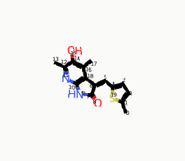 Cc1ccc(/C=C2\C(=O)Nc3nc(C)c(O)c(C)c32)s1